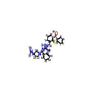 COCc1ccccc1Sc1ccccc1CNc1nc(N2CC[C@@H](N(C)C)C2)c2ccccc2n1